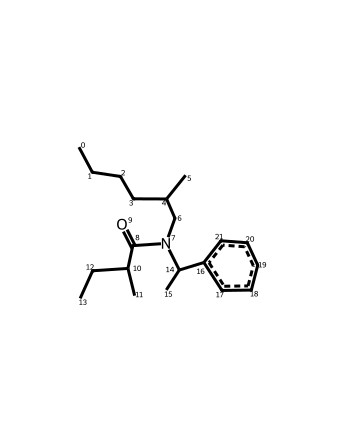 CCCCC(C)CN(C(=O)C(C)CC)C(C)c1ccccc1